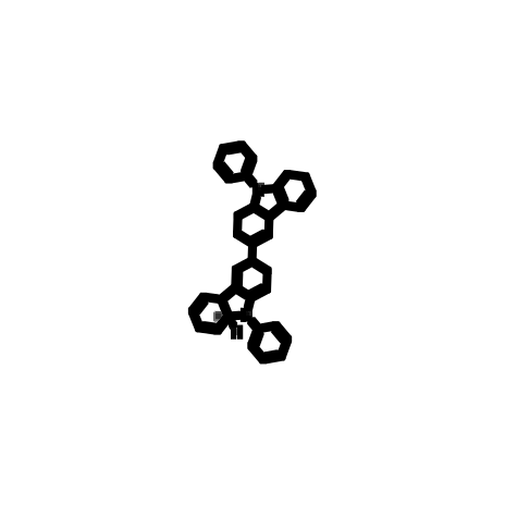 C1=CC2C3=CC(C4=CC5C6=C(CCC=C6)N(c6ccccc6)C5CC4)CC=C3N(c3ccccc3)[C@@H]2C=C1